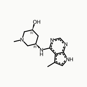 Cc1c[nH]c2ncnc(N[C@@H]3C[C@H](O)CN(C)C3)c12